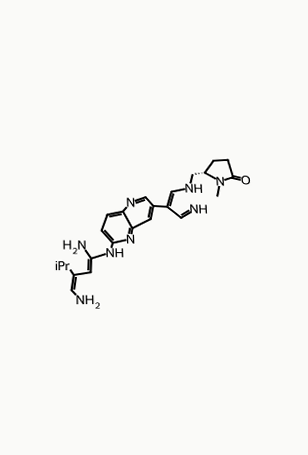 CC(C)C(=C/N)/C=C(\N)Nc1ccc2ncc(/C(C=N)=C/NC[C@@H]3CCC(=O)N3C)cc2n1